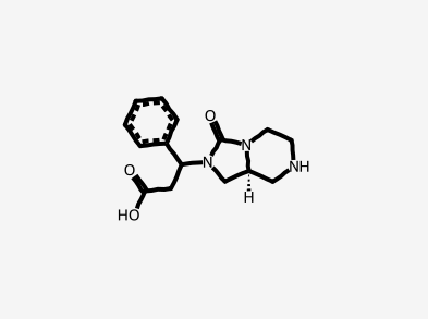 O=C(O)CC(c1ccccc1)N1C[C@@H]2CNCCN2C1=O